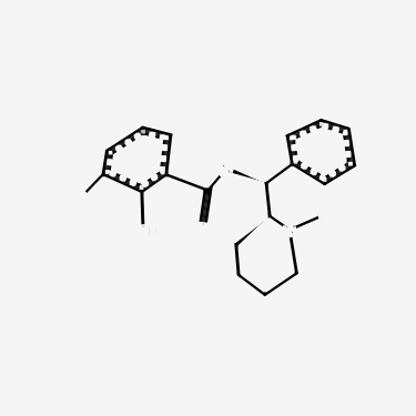 Cc1cccc(C(=O)N[C@@H](c2ccccc2)[C@@H]2CCCCN2C)c1C